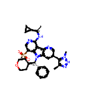 Cc1nnn(C)c1-c1cnc2c3c(N[C@H](C)C4CC4)ncc(S(C)(=O)=O)c3n([C@H](c3ccccc3)C3CCOCC3)c2c1